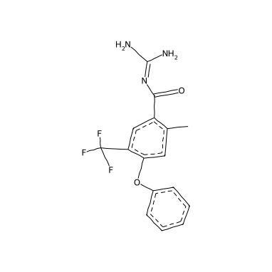 Cc1cc(Oc2ccccc2)c(C(F)(F)F)cc1C(=O)N=C(N)N